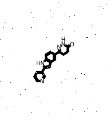 O=C1CCC(c2ccc3[nH]c(-c4cccnc4)cc3c2)=NN1